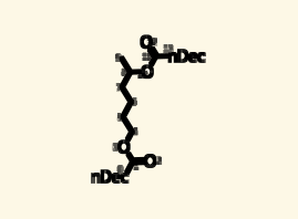 CCCCCCCCCCC(=O)OCCCCC(C)OC(=O)CCCCCCCCCC